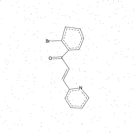 O=C(C=Cc1ccccn1)c1ccccc1Br